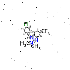 CN(C)c1nc2cc(C(F)(F)F)ccc2n1Cc1ccc(Cl)cc1